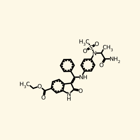 CCOC(=O)c1ccc2c(c1)NC(=O)/C2=C(\Nc1ccc(N(C(C)C(N)=O)S(C)(=O)=O)cc1)c1ccccc1